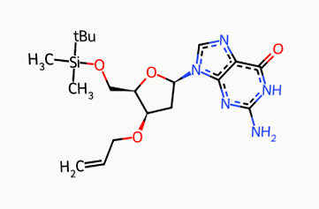 C=CCO[C@@H]1C[C@H](n2cnc3c(=O)[nH]c(N)nc32)O[C@@H]1CO[Si](C)(C)C(C)(C)C